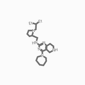 CCC(CC)CN1CCCC1CNc1nc2c(c(N3CCCCCC3)n1)CNCC2